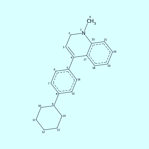 CN1CC=C(c2ccc(C3CCCCC3)cc2)c2ccccc21